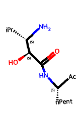 CCCCC[C@H](NC(=O)[C@@H](O)[C@@H](N)C(C)C)C(C)=O